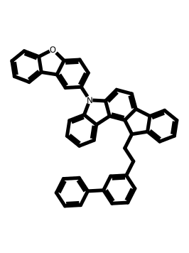 c1ccc(-c2cccc(CCC3c4ccccc4-c4ccc5c(c43)c3ccccc3n5-c3ccc4oc5ccccc5c4c3)c2)cc1